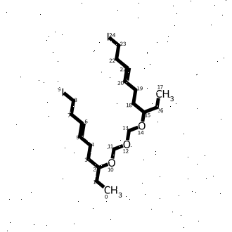 CCC(CCC=CCCI)OCOCOC(CC)CCC=CCCI